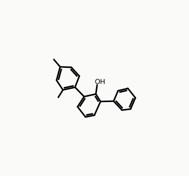 Cc1ccc(-c2cccc(-c3ccccc3)c2O)c(C)c1